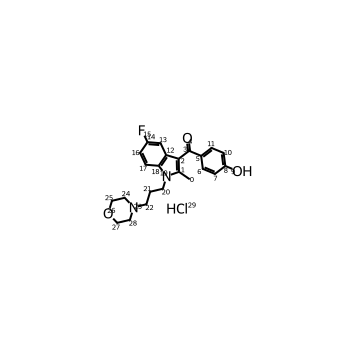 Cc1c(C(=O)c2ccc(O)cc2)c2cc(F)ccc2n1CCCN1CCOCC1.Cl